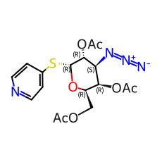 CC(=O)OC[C@H]1O[C@H](Sc2ccncc2)[C@H](OC(C)=O)[C@@H](N=[N+]=[N-])[C@H]1OC(C)=O